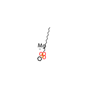 CCCCCCCCCCCCCCOS(=O)(=O)c1ccccc1.[Mg]